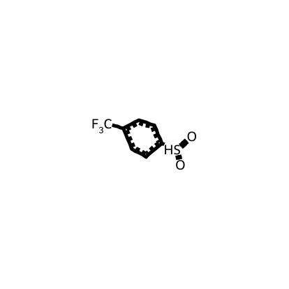 O=[SH](=O)c1ccc(C(F)(F)F)cc1